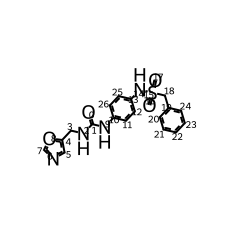 O=C(NCc1cnco1)Nc1ccc(NS(=O)(=O)Cc2ccccc2)cc1